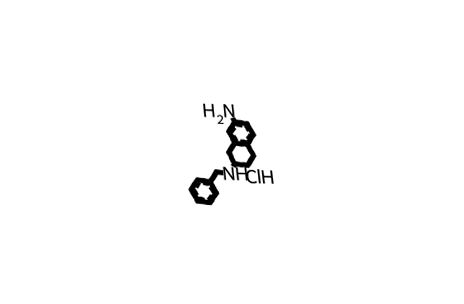 Cl.Nc1ccc2c(c1)CC(NCc1ccccc1)CC2